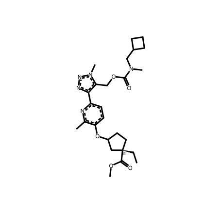 CC[C@]1(C(=O)OC)CCC(Oc2ccc(-c3nnn(C)c3COC(=O)N(C)CC3CCC3)nc2C)C1